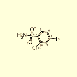 NS(=O)(=O)c1ccc(I)cc1Cl